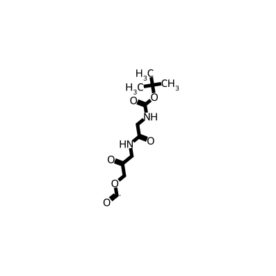 CC(C)(C)OC(=O)NCC(=O)NCC(=O)CO[C]=O